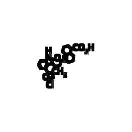 CC(CC(=O)N1CCCC2C(C(=O)O)CCCC21)c1c[nH]c2cccc(-c3ccc(Cl)o3)c12